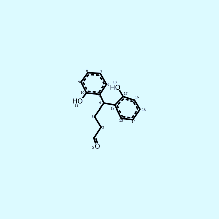 O=CCCC(c1ccccc1O)c1ccccc1O